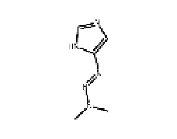 CN(C)N=Nc1cnc[nH]1